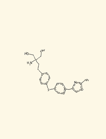 CCCc1nc(-c2ccc(Sc3ccc(CCC(N)(CO)CO)cc3)cc2)co1